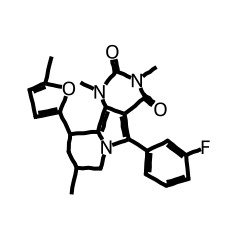 Cc1ccc(C2CC(C)Cn3c(-c4cccc(F)c4)c4c(=O)n(C)c(=O)n(C)c4c32)o1